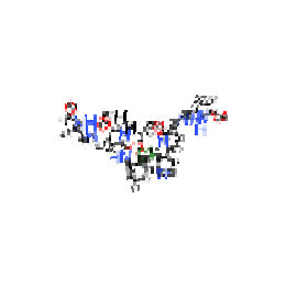 COc1cnc(C(=O)Nc2cccc(-c3nccc(-c4ccc(CNC[C@H]5CCC(=O)N5)c(OC)n4)c3Cl)c2Cl)cc1CNC[C@H]1CCC(=O)N1